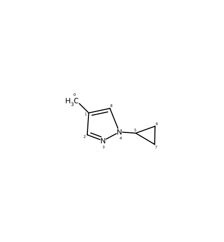 Cc1cnn(C2CC2)c1